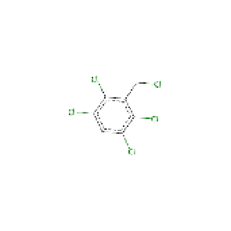 ClCc1c(Cl)c(Cl)cc(Cl)c1Cl